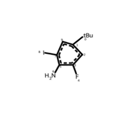 CC(C)(C)c1cc(F)c(N)c(I)c1